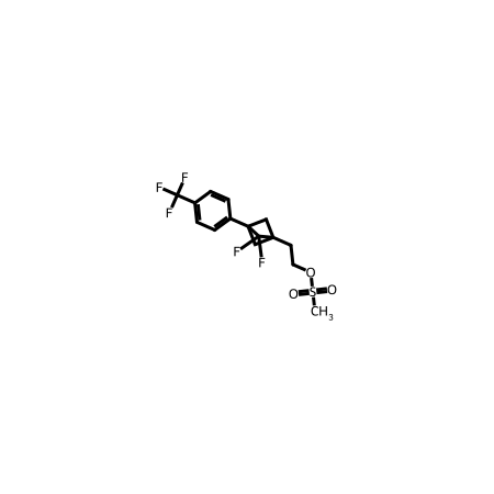 CS(=O)(=O)OCCC12CC(c3ccc(C(F)(F)F)cc3)(C1)C2(F)F